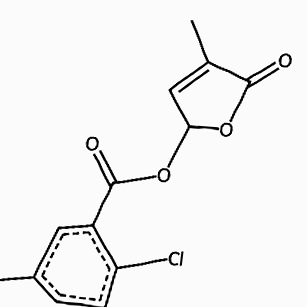 CC1=CC(OC(=O)c2cc(Cl)ccc2Cl)OC1=O